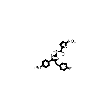 CC(C)(C)c1ccc(-c2nc(NC(=O)c3ccc([N+](=O)[O-])s3)sc2Cc2ccc(F)cc2)cc1